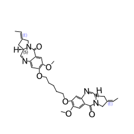 C/C=C1\C[C@H]2C=Nc3cc(OCCCCCOc4cc5c(cc4OC)C(=O)N4C/C(=C/C)C[C@H]4C=N5)c(OC)cc3C(=O)N2C1